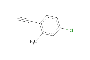 [C]#Cc1ccc(Cl)cc1C(F)(F)F